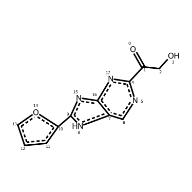 O=C(CO)c1ncc2[nH]c(-c3ccco3)nc2n1